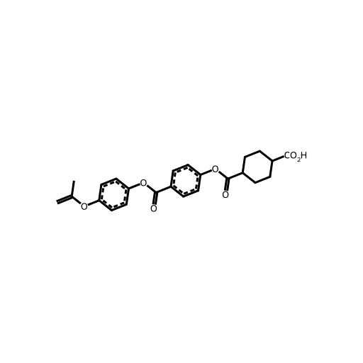 C=C(C)Oc1ccc(OC(=O)c2ccc(OC(=O)C3CCC(C(=O)O)CC3)cc2)cc1